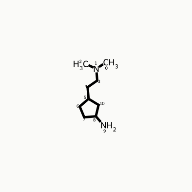 CN(C)CCC1CCC(N)C1